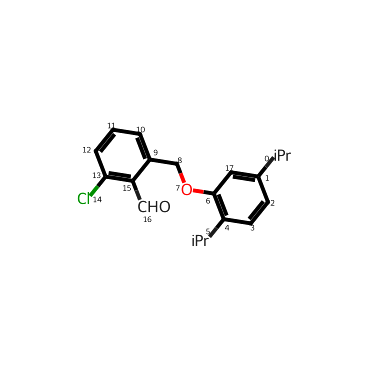 CC(C)c1ccc(C(C)C)c(OCc2cccc(Cl)c2C=O)c1